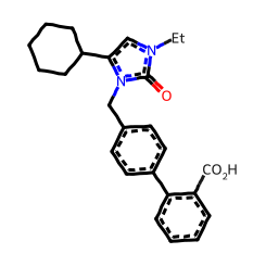 CCn1cc(C2CCCCC2)n(Cc2ccc(-c3ccccc3C(=O)O)cc2)c1=O